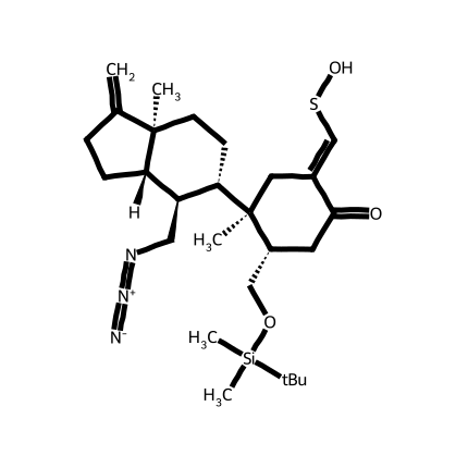 C=C1CC[C@H]2[C@H](CN=[N+]=[N-])[C@@H]([C@@]3(C)C/C(=C\SO)C(=O)C[C@@H]3CO[Si](C)(C)C(C)(C)C)CC[C@]12C